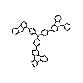 c1ccc(-n2c3ccccc3c3cc(-c4ccc(N(c5ccc(-c6ccc7c8ccccc8c8ccccc8c7c6)cc5)c5ccc(-c6cccc7c6oc6ccccc67)cc5)cc4)ccc32)cc1